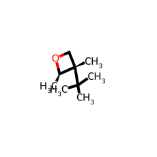 C[C@H]1OC[C@]1(C)C(C)(C)C